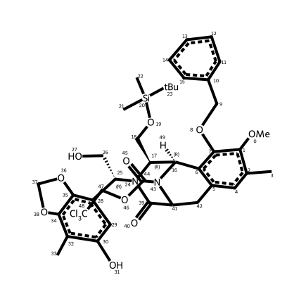 COc1c(C)cc2c(c1OCc1ccccc1)[C@@H]1[C@H](CO[Si](C)(C)C(C)(C)C)N([C@@H](CO)c3cc(O)c(C)c4c3OCO4)C(=O)C(C2)N1C(=O)OCC(Cl)(Cl)Cl